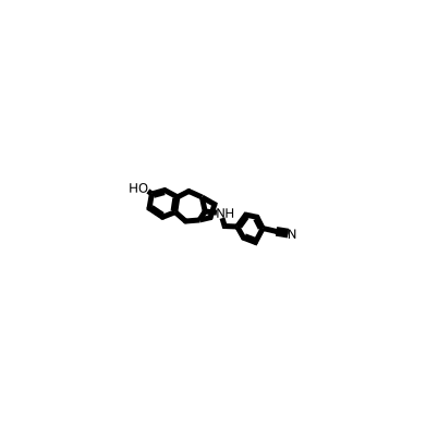 N#Cc1ccc(CNC2C3CCC2Cc2cc(O)ccc2C3)cc1